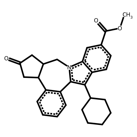 COC(=O)c1ccc2c(C3CCCCC3)c3n(c2c1)CC1CC(=O)CC1c1ccccc1-3